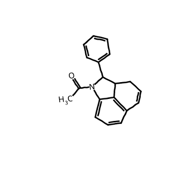 CC(=O)N1c2cccc3c2C(CC=C3)C1c1ccccc1